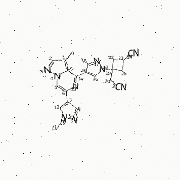 Cc1cnn2cc(-c3cnn(C)c3)nc(-c3cnn(C4(CC#N)CC(C#N)C4)c3)c12